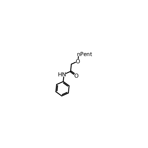 CCCCCOCC(=O)Nc1ccccc1